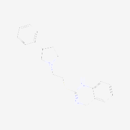 c1ccc(C2CCN(CCSC3=NCc4ccccc4N3)C2)cc1